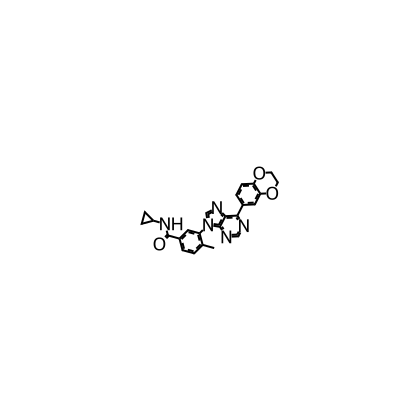 Cc1ccc(C(=O)NC2CC2)cc1-n1cnc2c(-c3ccc4c(c3)OCCO4)ncnc21